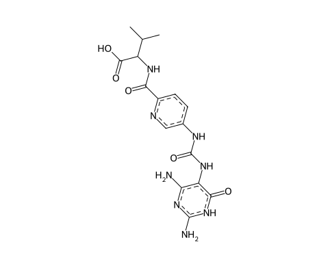 CC(C)C(NC(=O)c1ccc(NC(=O)Nc2c(N)nc(N)[nH]c2=O)cn1)C(=O)O